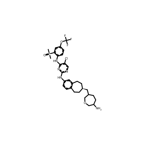 CP(C)(=O)c1cc(OC(F)(F)F)ccc1Nc1nc(Nc2ccc3c(c2)CC[C@@H](CC2CCC(N)COC2)CC3)ncc1Cl